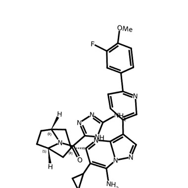 COc1ccc(-c2ccc(-c3cnn4c(N)c(C5CC5)c([C@H]5C[C@H]6CC[C@@H](C5)N6C(=O)c5nnc(N)[nH]5)nc34)cn2)cc1F